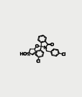 O=C1c2ccccc2C(OC2C=C[C@@H](O)C2)(c2ccc(Cl)cc2)N1Cc1ccc(Cl)cc1